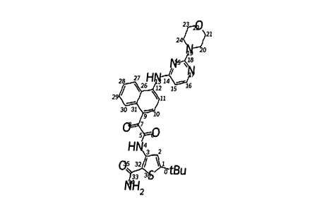 CC(C)(C)c1cc(NC(=O)C(=O)c2ccc(Nc3ccnc(N4CCOCC4)n3)c3ccccc23)c(C(N)=O)s1